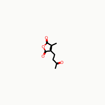 CC(=O)CCC1=C(C)C(=O)OC1=O